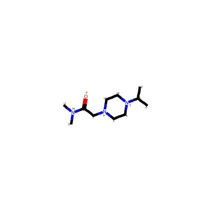 CC(C)N1CCN(CC(=O)N(C)C)CC1